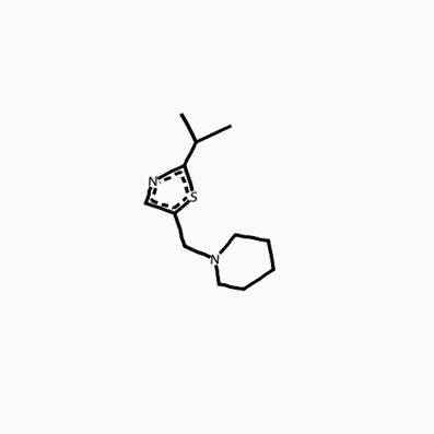 CC(C)c1ncc(CN2CCCCC2)s1